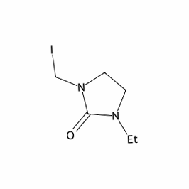 CCN1CCN(CI)C1=O